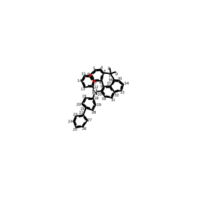 CC1(C)c2ccccc2-c2c(N(c3ccccc3)c3ccc(-c4ccccc4)cc3)ccc3cccc1c23